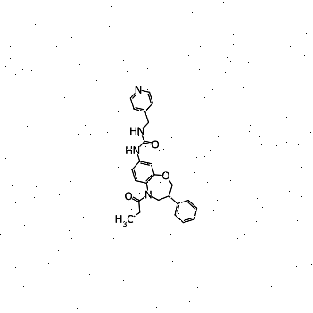 CCC(=O)N1CC(c2ccccc2)COc2cc(NC(=O)NCc3ccncc3)ccc21